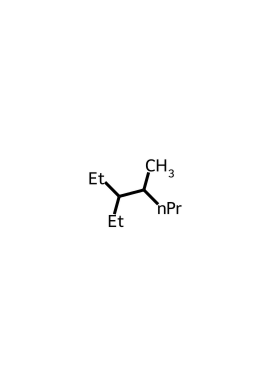 CCCC(C)C(CC)CC